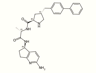 C[C@H](NC(=O)[C@H]1C[C@H](Cc2ccc(-c3ccccc3)cc2)CN1)C(=O)N[C@@H]1CCc2nc(N)ccc21